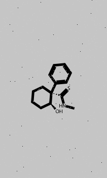 CNC(=S)[C@@]1(c2ccccc2)CCCC[C@@H]1O